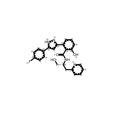 O=C(N[C@@H](CO)Cc1ccccn1)c1c(O)cccc1-c1cc(-c2ccc(F)cc2)[nH]n1